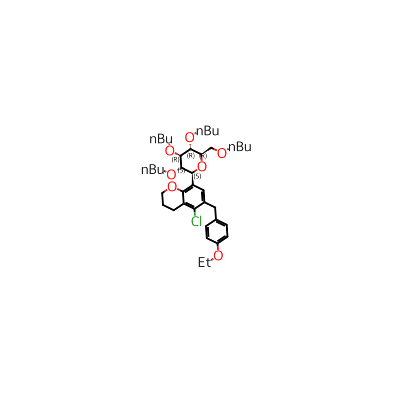 CCCCOC[C@H]1O[C@@H](c2cc(Cc3ccc(OCC)cc3)c(Cl)c3c2OCCC3)[C@H](OCCCC)[C@@H](OCCCC)[C@@H]1OCCCC